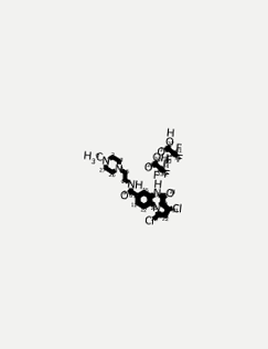 CN1CCN(CCNC(=O)c2ccc3c(c2)[nH]c(=O)c2c(Cl)cc(Cl)n23)CC1.O=C(O)C(F)(F)F.O=C(O)C(F)(F)F